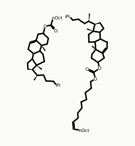 CCCCCCCC/C=C\CCCCCCCCOC(=O)OC1CC[C@@]2(C)C(=CCC3C2CC[C@@]2(C)C3CC[C@@H]2[C@H](C)CCCC(C)C)C1.CCCCCCCCC(=O)OC1CC[C@@]2(C)C(=CCC3C2CC[C@@]2(C)C3CC[C@@H]2[C@H](C)CCCC(C)C)C1